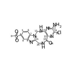 CS(=O)(=O)c1ccc2c(c1)nc1n2CNc2nc(N)c(Cl)nc2C(=O)NC1